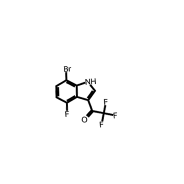 O=C(c1c[nH]c2c(Br)ccc(F)c12)C(F)(F)F